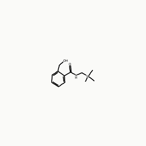 C[Si](C)(C)CNC(=O)c1ccccc1CO